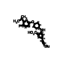 CN(C)c1nc(O[C@H]2CC[C@H](Nc3cc(C#CC(C)(C)C)sc3C(=O)O)CC2)ncc1F